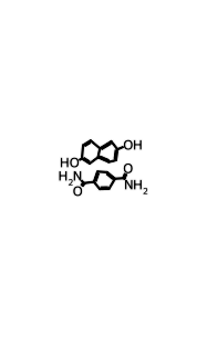 NC(=O)c1ccc(C(N)=O)cc1.Oc1ccc2cc(O)ccc2c1